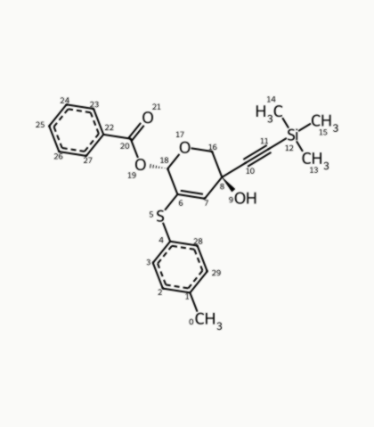 Cc1ccc(SC2=C[C@@](O)(C#C[Si](C)(C)C)CO[C@H]2OC(=O)c2ccccc2)cc1